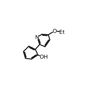 CCOc1ccc(-c2ccccc2O)nc1